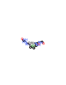 C=N/C(CNC[C@@H]1CCC(=O)N1)=C(\C=C(/C)c1cccc(-c2cccc(-c3ccn4c(=O)c(CNC[C@@H]5CCC(=O)N5)cnc4c3)c2Cl)c1Cl)OC